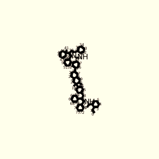 C=Cc1ccccc1C(C)N/C(=C(\CC1=CC=C(C2(C)C=c3ccc(-c4ccc([C@H]5Nc6ccccc6-c6cc(C7(C)C=CC=CC7)c(-c7ccccc7)n65)cc4)cc3=CC2C)CC1)c1ccccc1)c1ccccc1